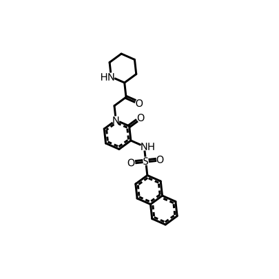 O=C(Cn1cccc(NS(=O)(=O)c2ccc3ccccc3c2)c1=O)C1CCCCN1